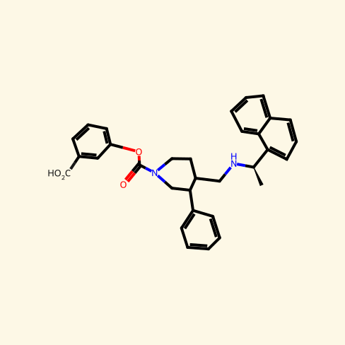 C[C@@H](NCC1CCN(C(=O)Oc2cccc(C(=O)O)c2)CC1c1ccccc1)c1cccc2ccccc12